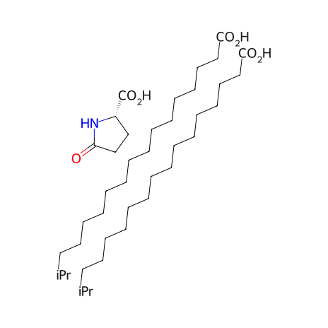 CC(C)CCCCCCCCCCCCCCC(=O)O.CC(C)CCCCCCCCCCCCCCC(=O)O.O=C1CC[C@@H](C(=O)O)N1